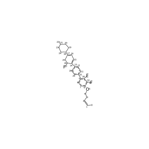 C/C=C\CCOc1ccc(-c2ccc(C3=CC=C(C4CCC(C)CC4)CC3F)cc2)c(F)c1F